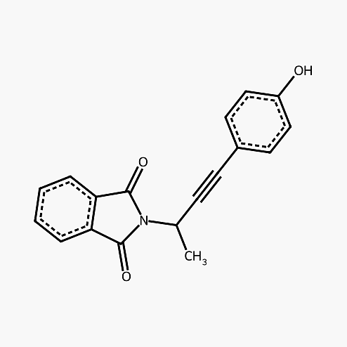 CC(C#Cc1ccc(O)cc1)N1C(=O)c2ccccc2C1=O